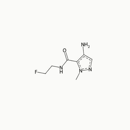 Cn1ncc(N)c1C(=O)NCCF